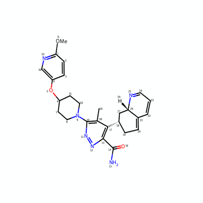 COc1ccc(OC2CCN(c3nnc(C(N)=O)c([C@H]4CC=C5C=CC=N[C@H]5C4)c3C)CC2)cn1